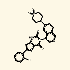 O=c1[nH]c2cc(-c3ccccc3Cl)sc2c(=O)n1-c1cncc2ccc(N3CCS(=O)(=O)CC3)cc12